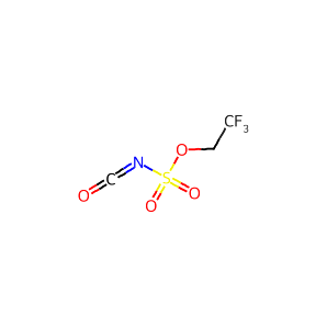 O=C=NS(=O)(=O)OCC(F)(F)F